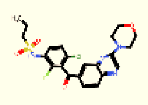 CCCS(=O)(=O)Nc1ccc(Cl)c(C(=O)c2ccc3ncc(N4CCOCC4)nc3c2)c1F